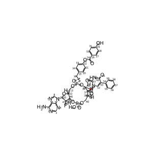 Nc1ncnc2c1ncn2[C@@H]1O[C@@H]2COP(=O)(SCc3ccc(OC(=O)c4ccc(O)cc4)cc3)O[C@@H]3[C@H](F)[C@@H](COP(=O)(O)O[C@H]2[C@H]1F)O[C@H]3n1cc(-c2ccccc2)c(=O)[nH]c1=O